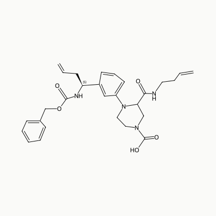 C=CCCNC(=O)C1CN(C(=O)O)CCN1c1cccc([C@H](CC=C)NC(=O)OCc2ccccc2)c1